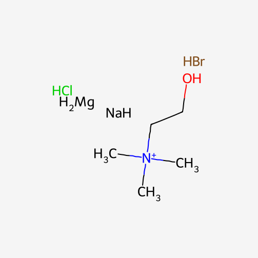 Br.C[N+](C)(C)CCO.Cl.[MgH2].[NaH]